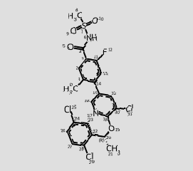 Cc1cc(C(=O)NS(C)(=O)=O)c(F)cc1-c1cnc(O[C@H](C)c2cc(Cl)ccc2Cl)c(Cl)c1